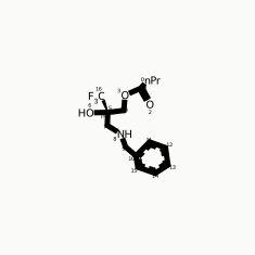 CCCC(=O)OC[C@@](O)(CNCc1ccccc1)C(F)(F)F